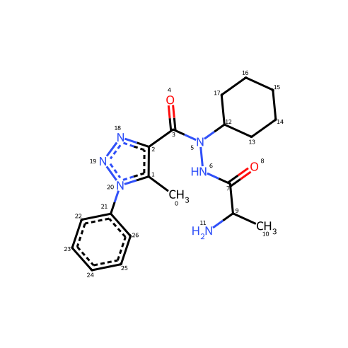 Cc1c(C(=O)N(NC(=O)C(C)N)C2CCCCC2)nnn1-c1ccccc1